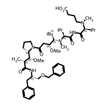 CC[C@H](C)[C@@H]([C@@H](CC(=O)N1CCC[C@H]1[C@H](OC)[C@@H](C)C(=O)N[C@H](COCc1ccccc1)Cc1ccccc1)OC)N(C)[C@H](C(=O)NC(=O)[C@H](C(C)C)N(C)CCCC(=O)O)C(C)C